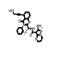 C[C@H](NC(=O)c1c(N)nn2cccnc12)c1nc2cccc(C#CCO)c2c(=O)n1-c1ccccc1